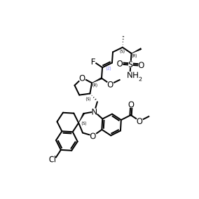 COC(=O)c1ccc2c(c1)N(C[C@@H]1CCO[C@H]1C(OC)/C(F)=C/C[C@H](C)[C@@H](C)S(N)(=O)=O)C[C@@]1(CCCc3cc(Cl)ccc31)CO2